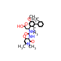 COc1cc(-c2ccccc2C)c(C)c(C(CC(=O)O)NC(=O)NC2C(=O)C=C(C)N(C)C2=O)c1